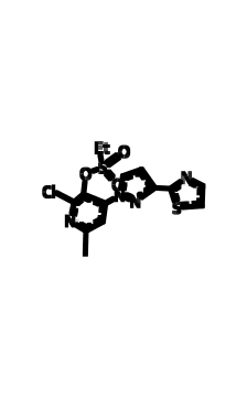 CCS(=O)(=O)Oc1c(-n2ccc(-c3nccs3)n2)cc(C)nc1Cl